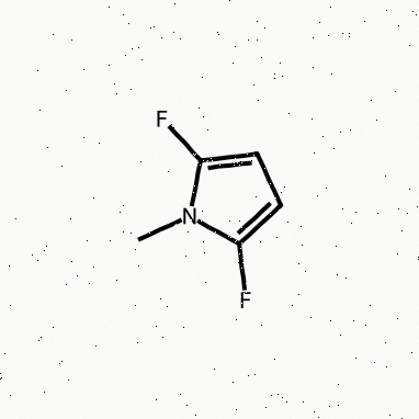 Cn1c(F)ccc1F